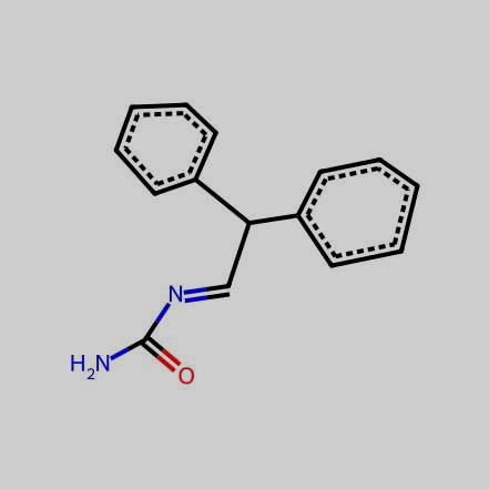 NC(=O)N=CC(c1ccccc1)c1ccccc1